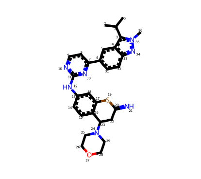 CC(C)c1c2cc(-c3ccnc(Nc4ccc5c(c4)SC(=N)CC5N4CCOCC4)n3)ccc2nn1C